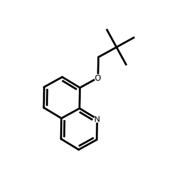 CC(C)(C)COc1cccc2cccnc12